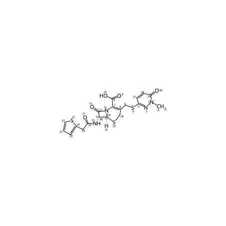 Cn1nc(SCC2=C(C(=O)O)N3C(=O)[C@@H](NC(=O)Cc4cccs4)[C@@H]3SC2)ccc1=O